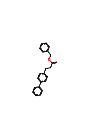 C=C(CCc1ccc(-c2ccccc2)cc1)OCc1ccccc1